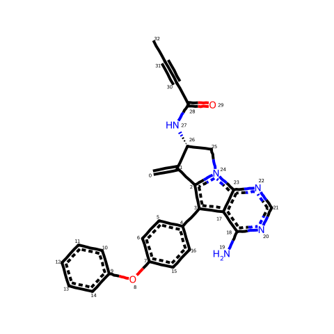 C=C1c2c(-c3ccc(Oc4ccccc4)cc3)c3c(N)ncnc3n2C[C@H]1NC(=O)C#CC